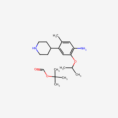 CC(C)(C)OC=O.Cc1cc(N)c(OC(C)C)cc1C1CCNCC1